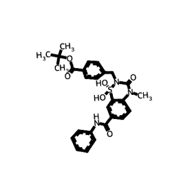 CN1C(=O)N(Cc2ccc(C(=O)OC(C)(C)C)cc2)S(O)(O)c2cc(C(=O)Nc3ccccc3)ccc21